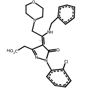 O=C(O)CC1=NN(c2ccccc2Cl)C(=O)/C1=C(/CN1CCOCC1)NCc1ccccc1